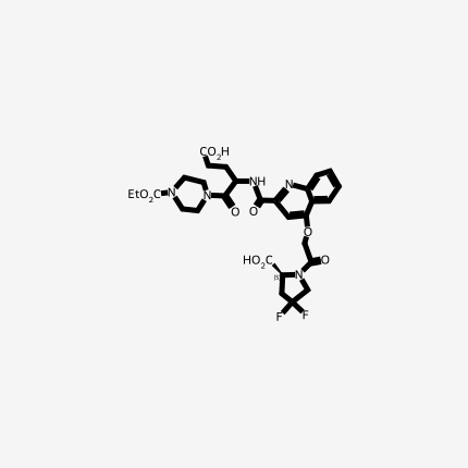 CCOC(=O)N1CCN(C(=O)C(CCC(=O)O)NC(=O)c2cc(OCC(=O)N3CC(F)(F)C[C@H]3C(=O)O)c3ccccc3n2)CC1